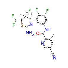 Cc1cc(C#N)cnc1C(=O)Nc1cc(F)c(F)c([C@@]2(CF)N=C(N)S[C@@]3(C(F)F)C[C@@H]23)c1